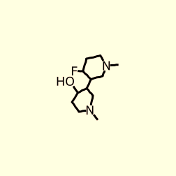 CN1CCC(O)C(C2CN(C)CCC2F)C1